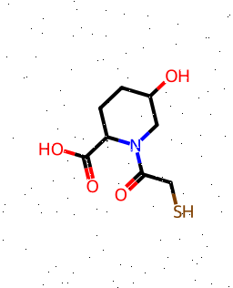 O=C(O)[C]1CCC(O)CN1C(=O)CS